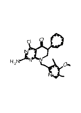 COc1c(C)cnc(CN2CC(c3ccccc3)C(=O)c3c(Cl)nc(N)nc32)c1C